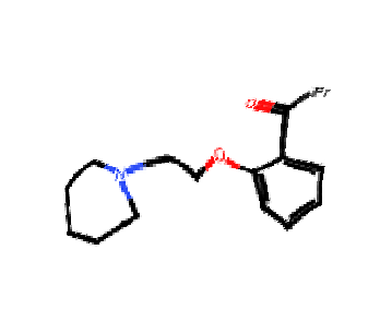 CC(C)C(=O)c1ccccc1OCCN1CCCCC1